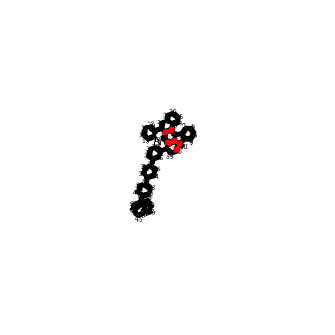 CC1(C)c2ccccc2-c2ccc(N(c3ccccc3-c3ccc4ccccc4c3)c3ccc(-c4ccc(-c5ccc(C67CC8CC(CC(C8)C6)C7)cc5)cc4)cc3-c3ccccc3)cc21